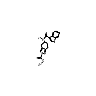 CCN(C(=O)c1csc2ccccc12)C1CCc2nn(C(=O)OC(C)(C)C)cc2C1